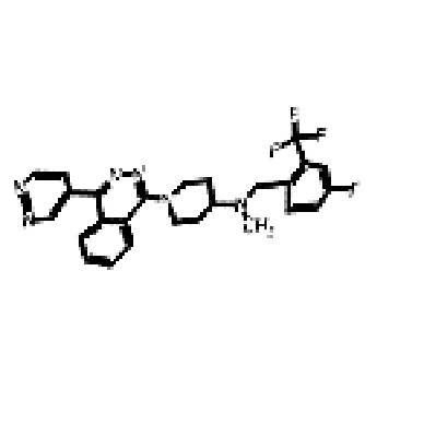 CN(Cc1ccc(F)cc1C(F)(F)F)C1CCN(c2nnc(-c3ccnnc3)c3ccccc23)CC1